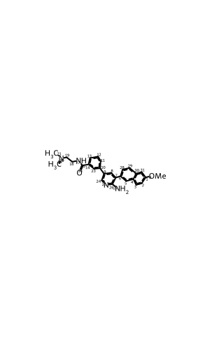 COc1ccc2cc(-c3cc(-c4cccc(C(=O)NCCN(C)C)c4)cnc3N)ccc2c1